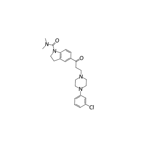 CN(C)C(=O)N1CCc2cc(C(=O)CCN3CCN(c4cccc(Cl)c4)CC3)ccc21